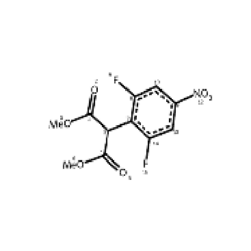 COC(=O)C(C(=O)OC)c1c(F)cc([N+](=O)[O-])cc1F